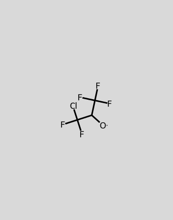 [O]C(C(F)(F)F)C(F)(F)Cl